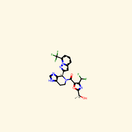 C[C@@H](O)c1nc(C(F)F)c(C(=O)N2CCc3[nH]cnc3[C@H]2c2cc3cccc(C(F)(F)F)n3n2)o1